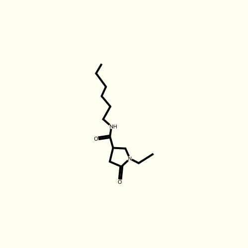 CCCCCCNC(=O)C1CC(=O)N(CC)C1